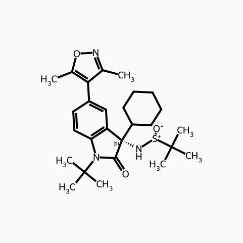 Cc1noc(C)c1-c1ccc2c(c1)[C@@](N[S+]([O-])C(C)(C)C)(C1CCCCC1)C(=O)N2C(C)(C)C